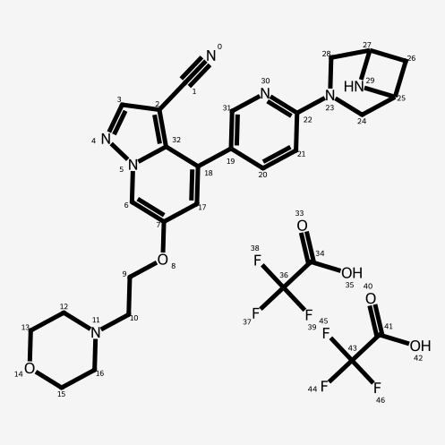 N#Cc1cnn2cc(OCCN3CCOCC3)cc(-c3ccc(N4CC5CC(C4)N5)nc3)c12.O=C(O)C(F)(F)F.O=C(O)C(F)(F)F